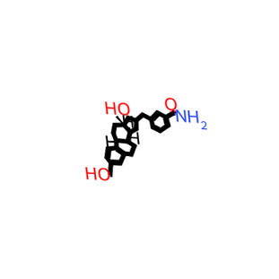 C[C@]12CC[C@@H]3c4ccc(CO)cc4CC[C@H]3[C@@H]1CC(Cc1cccc(C(N)=O)c1)[C@@H]2O